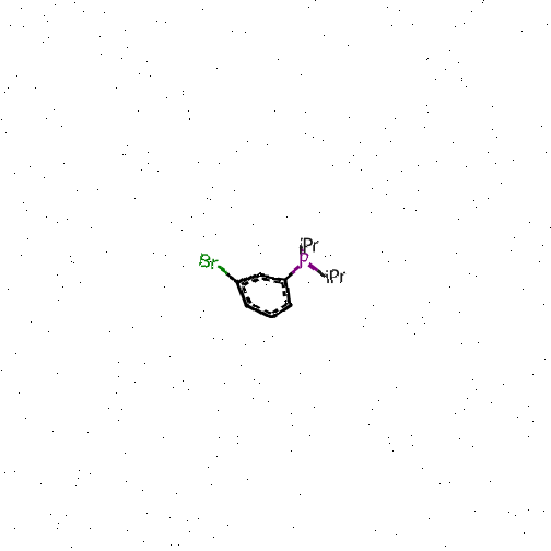 CC(C)P(c1cccc(Br)c1)C(C)C